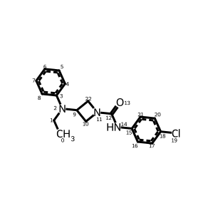 CCN(c1ccccc1)C1CN(C(=O)Nc2ccc(Cl)cc2)C1